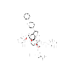 CCO/C=C\c1c([C@@H]2C[C@H]3CC[C@@H](C2)N3C(=O)OC(C)(C)C)nc2c(-c3ccc(-c4ccccc4)nc3)cnn2c1N(COCC[Si](C)(C)C)COCC[Si](C)(C)C